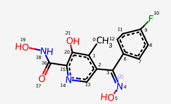 Cc1c(/C(=N\O)c2ccc(F)cc2)cnc(C(=O)NO)c1O